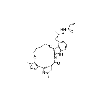 C=CC(=O)NC[C@@H](C)Oc1cccc2c1N1CCCCCOc3c(cnn3C)-c3cc(cc(C)n3)C(=O)/N=C/1N2